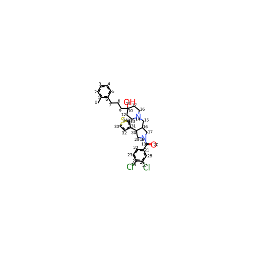 Cc1ccccc1CCCC1(O)CCN(CC2CN(C(=O)c3ccc(Cl)c(Cl)c3)CC2c2ccsc2)CC1